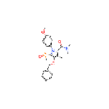 COc1ccc(-n2c(C(=O)N(C)C)c(C)c(OCc3ccccc3)c2P(C)(C)=O)cc1